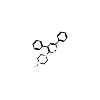 CC(C)N1CCN(c2nnc(-c3ccccc3)cc2-c2ccccc2)CC1